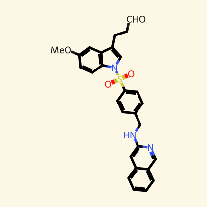 COc1ccc2c(c1)c(CCC=O)cn2S(=O)(=O)c1ccc(CNc2cc3ccccc3cn2)cc1